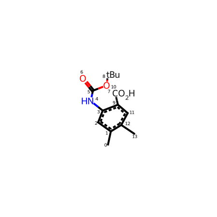 Cc1cc(NC(=O)OC(C)(C)C)c(C(=O)O)cc1C